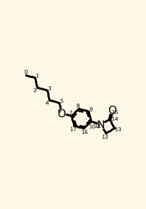 CCCCCCOc1ccc(N2CCC2=O)cc1